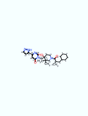 CC(CC1CCCCC1)C(=O)N1CCC(O)(Cn2cnc(-c3ccn[nH]3)cc2=O)C(C)(C)C1